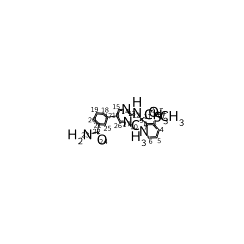 C[S+]([O-])c1cccnc1C(C)(C)Nc1ncc(-c2cccc(C(N)=O)c2)cn1